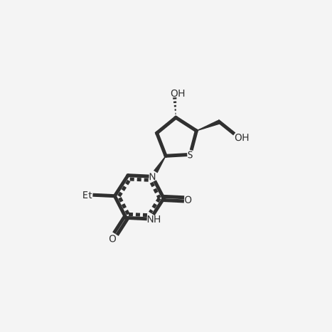 CCc1cn([C@H]2C[C@H](O)[C@@H](CO)S2)c(=O)[nH]c1=O